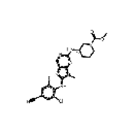 COC(=O)N1CCC[C@@H](Nc2ncc3nc(Nc4c(Cl)cc(C#N)cc4Cl)n(C)c3n2)C1